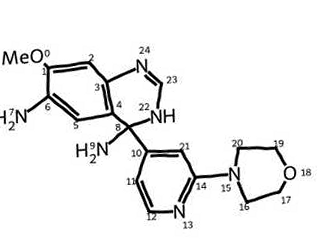 COc1cc2c(cc1N)C(N)(c1ccnc(N3CCOCC3)c1)NC=N2